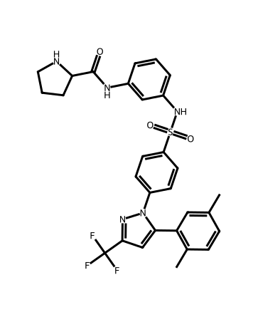 Cc1ccc(C)c(-c2cc(C(F)(F)F)nn2-c2ccc(S(=O)(=O)Nc3cccc(NC(=O)C4CCCN4)c3)cc2)c1